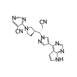 N#CC[C@@H]([C@H]1CCN(c2ncncc2C#N)C1)n1cc(-c2ncnc3[nH]ccc23)cn1